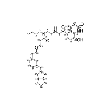 CCCCN(CCNC[C@H](O)c1ccc(O)c2[nH]c(=O)ccc12)C(=O)CCOCCc1cccc(CN2CC3CCCC3C2)c1